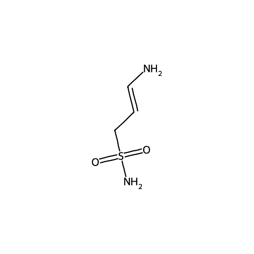 NC=CCS(N)(=O)=O